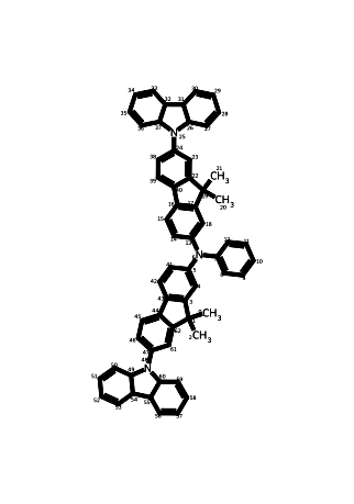 CC1(C)c2cc(N(c3ccccc3)c3ccc4c(c3)C(C)(C)c3cc(N5C6C=CC=CC6C6C=CC=CC65)ccc3-4)ccc2-c2ccc(N3C4C=CC=CC4C4C=CC=CC43)cc21